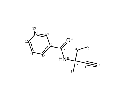 C#CC(C)(CC)NC(=O)c1cccnc1